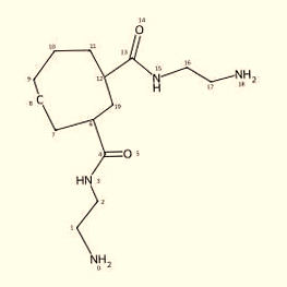 NCCNC(=O)C1CCCCCC(C(=O)NCCN)C1